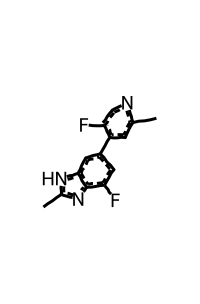 Cc1cc(-c2cc(F)c3nc(C)[nH]c3c2)c(F)cn1